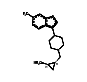 O=C(O)[C@@H]1C[C@H]1CN1CCC(c2csc3cc(C(F)(F)F)ccc23)CC1